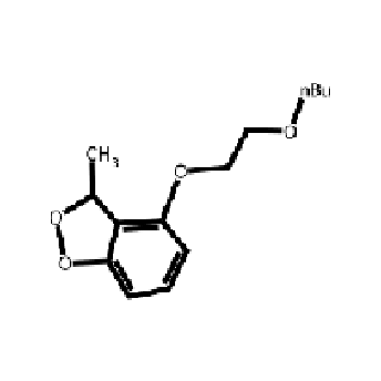 CCCCOCCOc1cccc2c1C(C)OO2